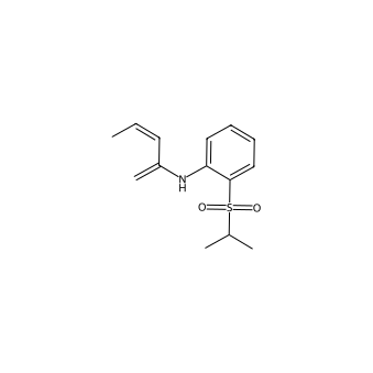 C=C(/C=C\C)Nc1ccccc1S(=O)(=O)C(C)C